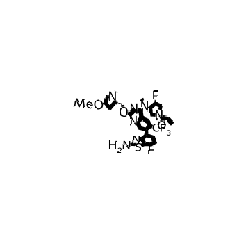 C=CC(=O)N1C[C@@H](F)[C@@H](N(C)c2nc(OC[C@@H]3C[C@@H](OC)CN3C)nc3cc(-c4ccc(F)c5sc(N)nc45)c(C(F)(F)F)cc23)C1